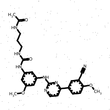 COc1cc(NC(=O)NCCCNC(C)=O)cc(Nc2nccc(-c3ccc(OC)c(C#N)c3)n2)c1